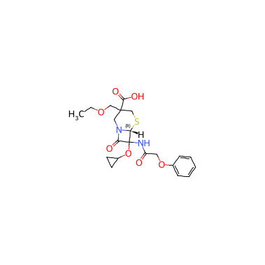 CCOCC1(C(=O)O)CS[C@H]2N(C1)C(=O)C2(NC(=O)COc1ccccc1)OC1CC1